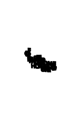 CO[C@@H]1[C@@H](n2cc(-c3cccc(F)c3)nn2)[C@@H](O)[C@@H](CO)O[C@H]1C(=O)N(C1CC1)[C@@H]1CCC[C@H](n2cc(-c3cccc(F)c3)nn2)[C@H]1O